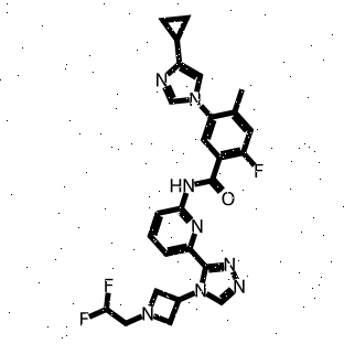 Cc1cc(F)c(C(=O)Nc2cccc(-c3nncn3C3CN(CC(F)F)C3)n2)cc1-n1cnc(C2CC2)c1